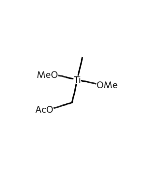 C[O][Ti]([CH3])([CH2]OC(C)=O)[O]C